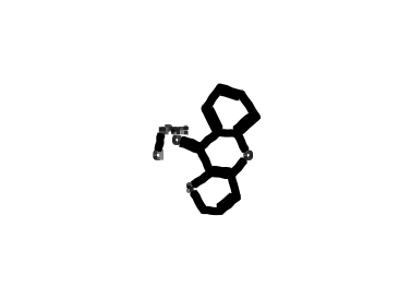 CCCCCCl.O=c1c2c(oc3ccccc13)C=CCS2